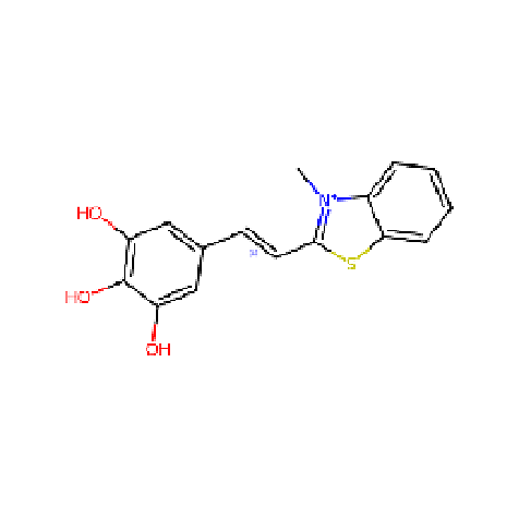 C[n+]1c(/C=C/c2cc(O)c(O)c(O)c2)sc2ccccc21